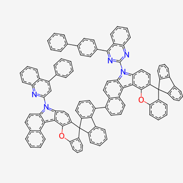 c1ccc(-c2ccc(-c3nc(-n4c5ccc6c(c5c5c7cccc(-c8cccc9c8-c8ccccc8C98c9ccccc9Oc9c8ccc8c9c9c%10ccccc%10ccc9n8-c8cc(-c9ccccc9)c9ccccc9n8)c7ccc54)Oc4ccccc4C64c5ccccc5-c5ccccc54)nc4ccccc34)cc2)cc1